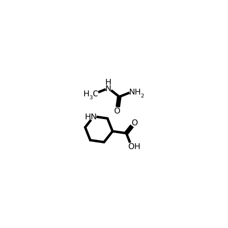 CNC(N)=O.O=C(O)C1CCCNC1